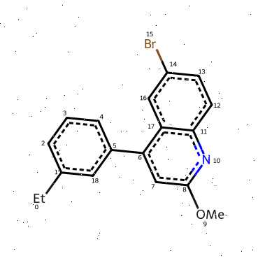 CCc1cccc(-c2cc(OC)nc3ccc(Br)cc23)c1